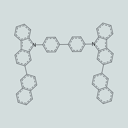 c1ccc2cc(-c3ccc4c5ccccc5n(-c5ccc(-c6ccc(-n7c8ccccc8c8ccc(-c9ccc%10ccccc%10c9)cc87)cc6)cc5)c4c3)ccc2c1